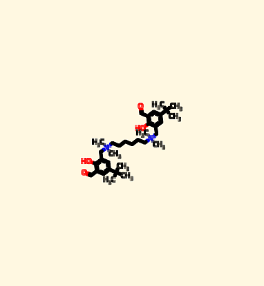 CC(C)(C)c1cc(C=O)c(O)c(C[N+](C)(C)CCCCCC[N+](C)(C)Cc2cc(C(C)(C)C)cc(C=O)c2O)c1